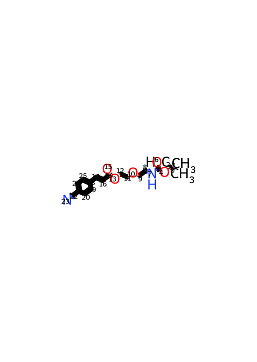 CC(C)(C)OC(=O)NCCOCCOC(=O)/C=C/c1ccc(C#N)cc1